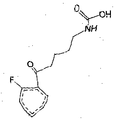 O=C(O)NCCCCC(=O)c1ccccc1F